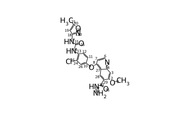 COc1cc2nccc(Oc3ccc(NC(=O)Nc4cc(C)on4)c(Cl)c3)c2cc1C(=O)NN